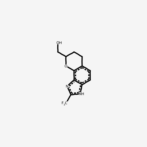 OCC1CCc2ccc3[nH]c(C(F)(F)F)nc3c2O1